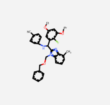 CCOc1cc(OC(C)C)c(F)c(C(Nc2ccc(C#N)cc2)c2nc3c(C)cccc3n2COCc2ccccc2)c1